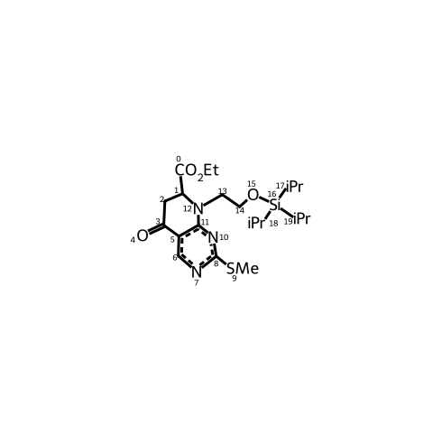 CCOC(=O)C1CC(=O)c2cnc(SC)nc2N1CCO[Si](C(C)C)(C(C)C)C(C)C